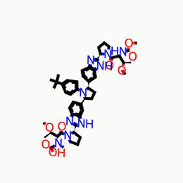 COC(=O)N[C@H](C(=O)N1CCC[C@H]1c1nc2ccc([C@@H]3CC[C@@H](c4ccc5nc([C@@H]6CCCN6C(=O)[C@H]([C@@H](C)OC)N(C)C(=O)O)[nH]c5c4)N3c3ccc(C(C)(C)C)cc3)cc2[nH]1)[C@@H](C)OC